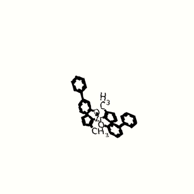 CC1=[C]([Zr]([O]c2cccc(-c3ccccc3)c2)([O]c2cccc(-c3ccccc3)c2)[C]2=C(C)C=CC2)CC=C1